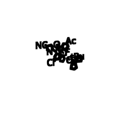 CC(=O)c1cc(F)c2c(c1)C(=O)N(Cc1ccc(C#N)cn1)[C@@]2(O[C@H]1CCC[C@H]1CO[Si](c1ccccc1)(c1ccccc1)C(C)(C)C)c1ccc(Cl)cc1